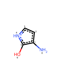 Nc1cc[nH]c1O